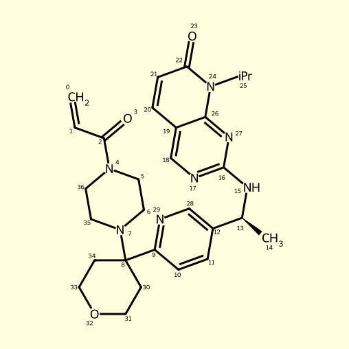 C=CC(=O)N1CCN(C2(c3ccc([C@H](C)Nc4ncc5ccc(=O)n(C(C)C)c5n4)cn3)CCOCC2)CC1